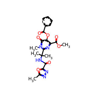 COC(=O)c1nc(C(C)(C)NC(=O)c2nnc(C)o2)n(C)c(=O)c1OC(=O)c1ccccc1